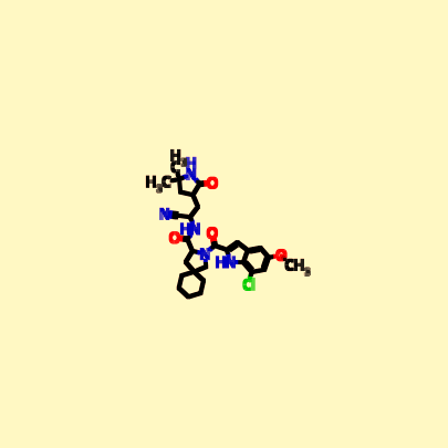 COc1cc(Cl)c2[nH]c(C(=O)N3CC4(CCCCC4)CC3C(=O)NC(C#N)CC3CC(C)(C)NC3=O)cc2c1